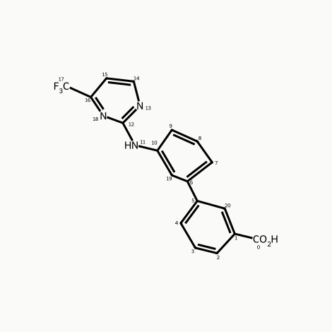 O=C(O)c1cccc(-c2cccc(Nc3nccc(C(F)(F)F)n3)c2)c1